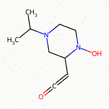 CC(C)N1CCN(O)C(C=C=O)C1